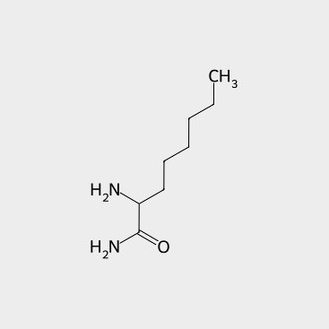 CCCCCCC(N)C(N)=O